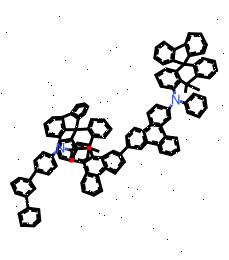 CC1(C)c2ccccc2C2(c3ccccc3-c3cccc(N(c4ccc(-c5cccc(-c6ccccc6)c5)cc4)c4ccc5c6cc(-c7ccc8c9ccc(N(c%10ccccc%10)c%10cccc%11c%10C(C)(C)c%10ccccc%10C%11%10c%11ccccc%11-c%11ccccc%11%10)cc9c9ccccc9c8c7)ccc6c6ccccc6c5c4)c32)c2ccccc21